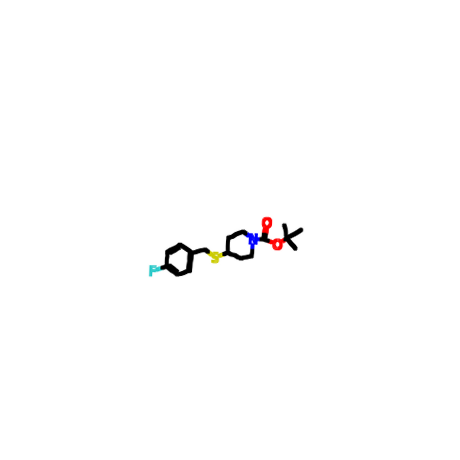 CC(C)(C)OC(=O)N1CCC(SCc2ccc(F)cc2)CC1